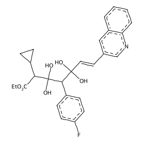 CCOC(=O)C(C1CC1)C(O)(O)C(c1ccc(F)cc1)C(O)(O)C=Cc1cnc2ccccc2c1